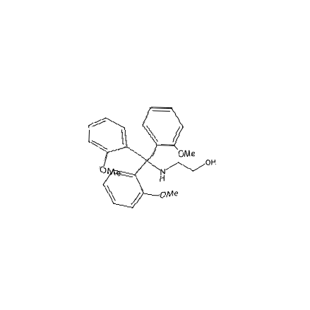 COc1ccccc1C(NCCO)(c1ccccc1OC)c1ccccc1OC